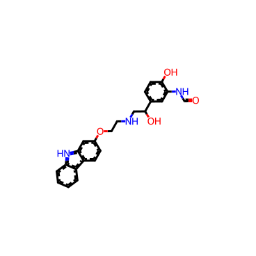 O=CNc1cc(C(O)CNCCOc2ccc3c(c2)[nH]c2ccccc23)ccc1O